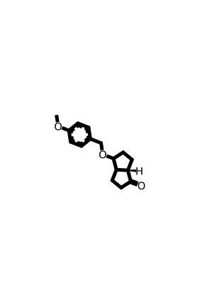 COc1ccc(COC2CC[C@@H]3C(=O)CCC23)cc1